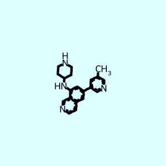 Cc1cncc(-c2cc(NC3CCNCC3)c3cnccc3c2)c1